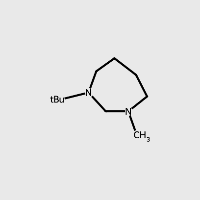 CN1CCCCN(C(C)(C)C)C1